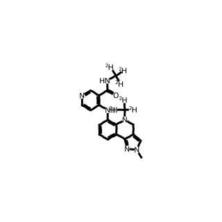 [2H]C([2H])([2H])NC(=O)c1cnccc1Nc1cccc2c1N(C([2H])([2H])[2H])Cc1cn(C)nc1-2